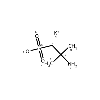 CC(C)(N)CS(=O)(=O)[O-].[K+]